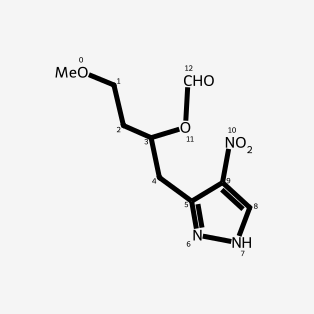 COCCC(Cc1n[nH]cc1[N+](=O)[O-])OC=O